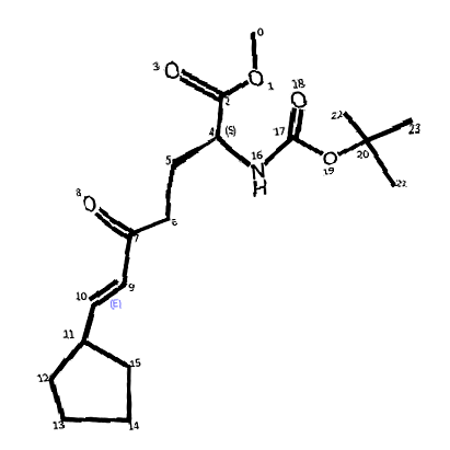 COC(=O)[C@H](CCC(=O)/C=C/C1CCCC1)NC(=O)OC(C)(C)C